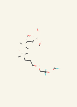 CO[Si](CC[Si](C)(C)O[Si](C)(C)CCCOCC(F)(F)OCF)(OC)OC